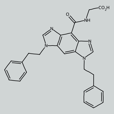 O=C(O)CNC(=O)c1c2ncn(CCc3ccccc3)c2cc2c1ncn2CCc1ccccc1